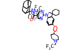 O=C(NC1(C(=O)O)C2CC3CC(C2)CC1C3)c1cnc(N2CC3(CCCCC3)c3cc(OC4CCN(CC(F)(F)F)CC4)ccc32)nc1C(F)(F)F